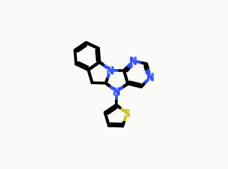 c1csc(N2c3cncnc3N3c4ccccc4CC23)c1